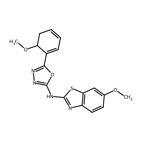 COc1ccc2nc(Nc3nnc(C4=CC=CCC4OC)o3)sc2c1